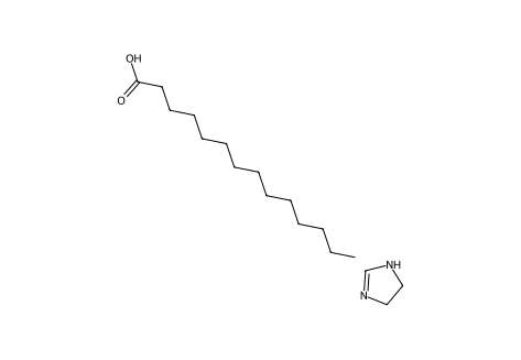 C1=NCCN1.CCCCCCCCCCCCCC(=O)O